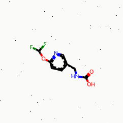 O=C(O)NCc1ccc(OC(F)F)nc1